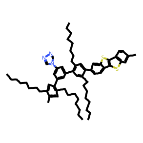 CCCCCCCCc1cc(-c2cc(-c3cc(CCCCCCCC)c(-c4ccc5c(c4)sc4c6ccc(C)cc6sc54)cc3CCCCCCCC)cc(-n3cnnc3)c2)c(CCCCCCCC)cc1C